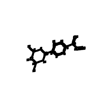 COC(=O)c1ccc(N2CC(C)OC(C)C2)nc1